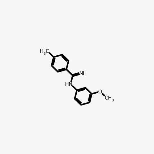 COc1cccc(NC(=N)c2ccc(C)cc2)c1